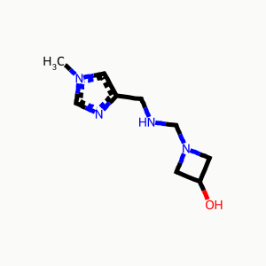 Cn1cnc(CNCN2CC(O)C2)c1